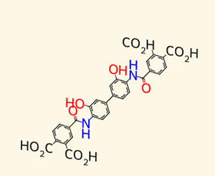 O=C(Nc1ccc(-c2ccc(NC(=O)c3ccc(C(=O)O)c(C(=O)O)c3)c(O)c2)cc1O)c1ccc(C(=O)O)c(C(=O)O)c1